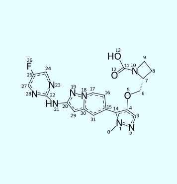 Cn1ncc(OC[C@H]2CCN2C(=O)O)c1-c1ccn2nc(Nc3ncc(F)cn3)cc2c1